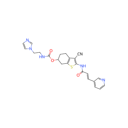 N#Cc1c(NC(=O)C=Cc2cccnc2)sc2c1CCC(OC(=O)NCCn1ccnc1)C2